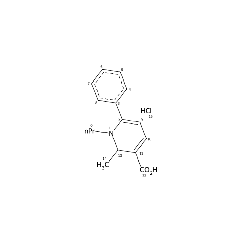 CCCN1C(c2ccccc2)=CC=C(C(=O)O)C1C.Cl